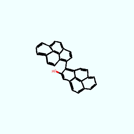 Oc1cc2ccc3cccc4ccc(c1-c1ccc5ccc6cccc7ccc1c5c67)c2c34